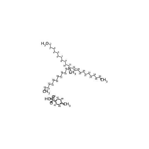 CCCCCCCCCCCC[N+](C)(CCCCCCCCCCCC)CCCCCCCCCCCC.Cc1ccc(S(=O)(=O)O)cc1